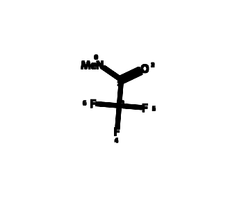 CNC(=O)C(F)(F)F